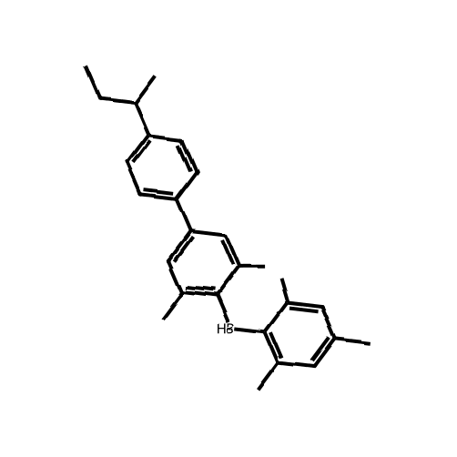 CCC(C)c1ccc(-c2cc(C)c(Bc3c(C)cc(C)cc3C)c(C)c2)cc1